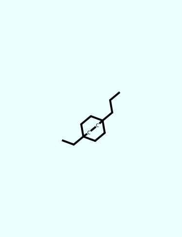 CCCC12CCC(CC)(CC1)CC2